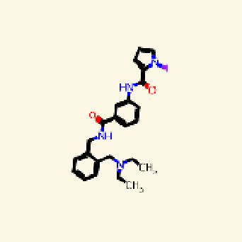 CCN(CC)Cc1ccccc1CNC(=O)c1cccc(NC(=O)c2cccn2I)c1